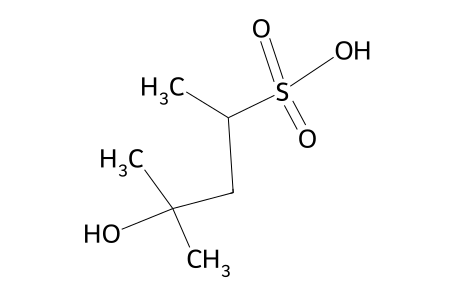 CC(CC(C)(C)O)S(=O)(=O)O